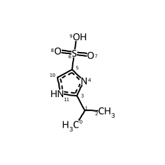 CC(C)c1nc(S(=O)(=O)O)c[nH]1